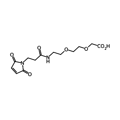 O=C(O)COCCOCCNC(=O)CCN1C(=O)C=CC1=O